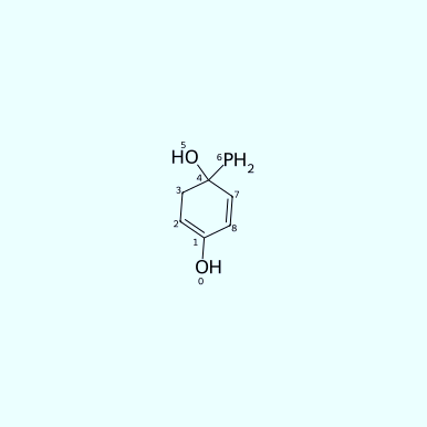 OC1=CCC(O)(P)C=C1